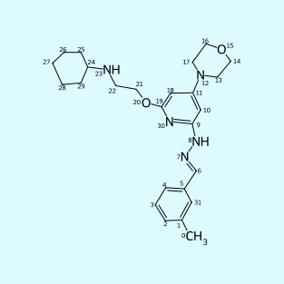 Cc1cccc(/C=N/Nc2cc(N3CCOCC3)cc(OCCNC3CCCCC3)n2)c1